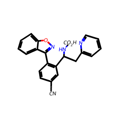 N#Cc1ccc(-c2noc3ccccc23)c(C(Cc2ccccn2)NC(=O)O)c1